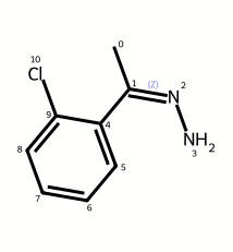 C/C(=N/N)c1ccccc1Cl